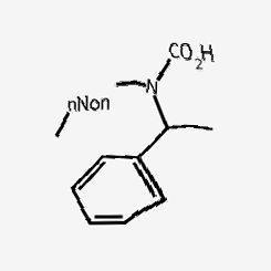 CC(c1ccccc1)N(C)C(=O)O.CCCCCCCCCC